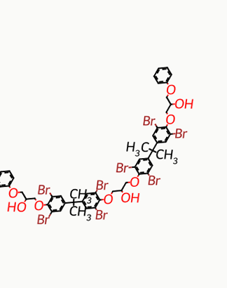 CC(C)(c1cc(Br)c(OCC(O)COc2ccccc2)c(Br)c1)c1cc(Br)c(OCC(O)COc2c(Br)cc(C(C)(C)c3cc(Br)c(OCC(O)COc4ccccc4)c(Br)c3)cc2Br)c(Br)c1